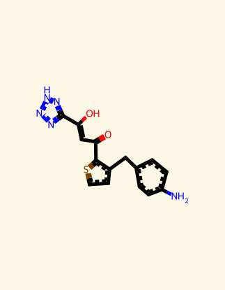 Nc1ccc(Cc2ccsc2C(=O)C=C(O)c2nn[nH]n2)cc1